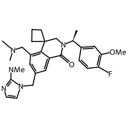 CNc1nccn1Cc1cc(CN(C)C)c2c(c1)C(=O)N([C@@H](C)c1ccc(F)c(OC)c1)CC21CCC1